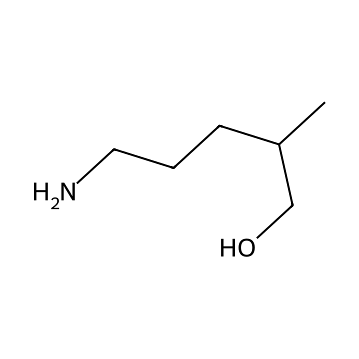 CC(CO)CCCN